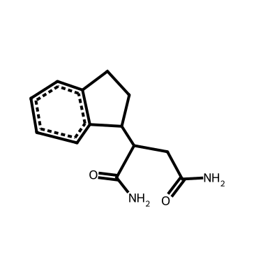 NC(=O)CC(C(N)=O)C1CCc2ccccc21